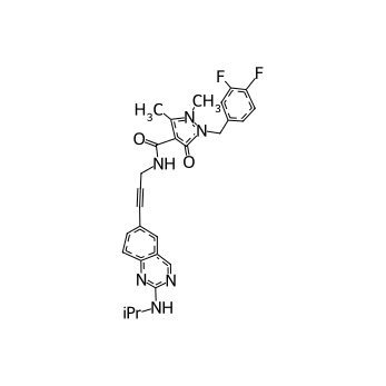 Cc1c(C(=O)NCC#Cc2ccc3nc(NC(C)C)ncc3c2)c(=O)n(Cc2ccc(F)c(F)c2)n1C